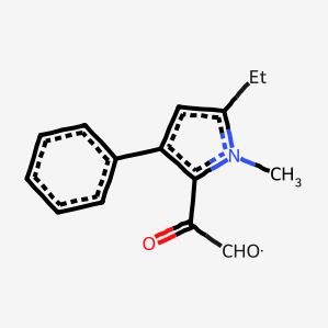 CCc1cc(-c2ccccc2)c(C(=O)[C]=O)n1C